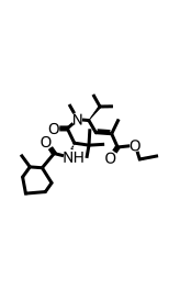 CCOC(=O)/C(C)=C/[C@H](C(C)C)N(C)C(=O)[C@@H](NC(=O)C1CCCCC1C)C(C)(C)C